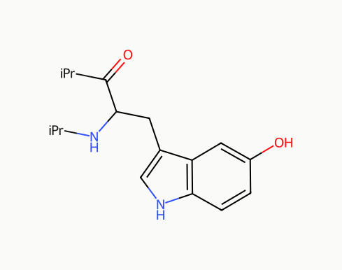 CC(C)NC(Cc1c[nH]c2ccc(O)cc12)C(=O)C(C)C